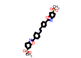 CS(=O)(=O)c1ccc2nc(-c3ccc(/C=C/c4ccc(-c5nc6ccc(S(C)(=O)=O)cc6o5)cc4)cc3)oc2c1